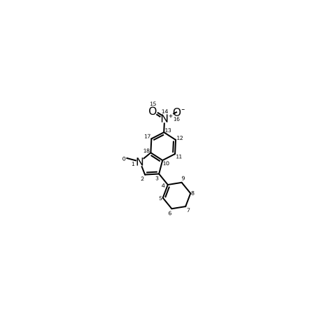 Cn1cc(C2=CCCCC2)c2ccc([N+](=O)[O-])cc21